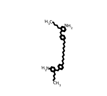 CCCCCc1cc(N)ccc1Cc1ccc(CCCCCCCCCCCc2ccc(Cc3ccc(N)cc3CCCCC)cc2)cc1